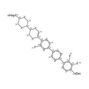 CCCCCCCCCCc1ccc(-c2ccc(-c3ccc(C4=CCC(C5CCC(CCCCCCC)CC5)CC4)c(F)c3)cc2)c(F)c1F